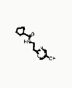 O=C(NCCc1ccc(O)cn1)C1CCCC1